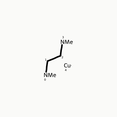 CNCCNC.[Cu]